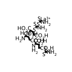 NC(=S)[S-].NC(=S)[S-].NC(=S)[S-].NC(CCC(=O)O)C(=O)O.NC(CCC(=O)O)C(=O)O.NC(CCC(=O)O)C(=O)O.[La+3]